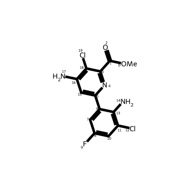 COC(=O)c1nc(-c2cc(F)cc(Cl)c2N)cc(N)c1Cl